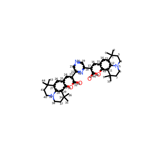 CC1(C)CCN2CCC(C)(C)c3c2c1cc1cc(-c2cncc(-c4cc5cc6c7c(c5oc4=O)C(C)(C)CCN7CCC6(C)C)n2)c(=O)oc31